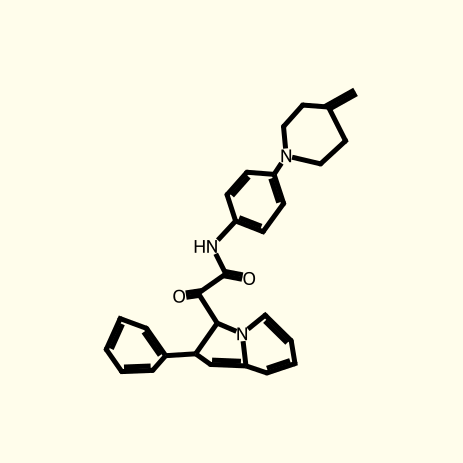 C=C1CCN(c2ccc(NC(=O)C(=O)C3C(c4ccccc4)C=C4C=CC=CN43)cc2)CC1